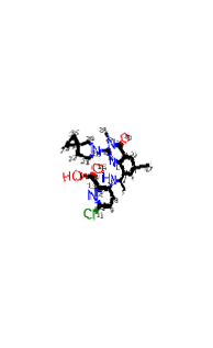 Cc1cc(C(C)Nc2ccc(Cl)nc2C(=O)O)c2nc(N3CCC4(CC4)C3)n(C)c(=O)c2c1